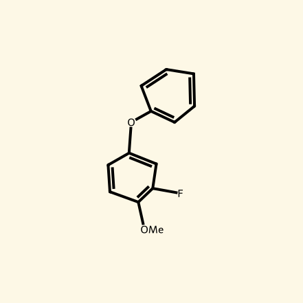 COc1ccc(Oc2ccccc2)cc1F